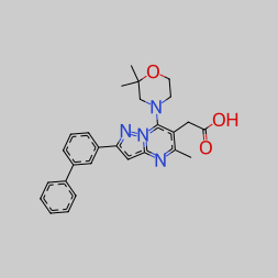 Cc1nc2cc(-c3cccc(-c4ccccc4)c3)nn2c(N2CCOC(C)(C)C2)c1CC(=O)O